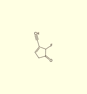 C#CC1=CCC(=O)C1F